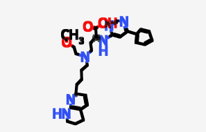 COCCN(CCCCc1ccc2c(n1)NCCC2)CC[C@H](Nc1cc(-c2ccccc2)ncn1)C(=O)O